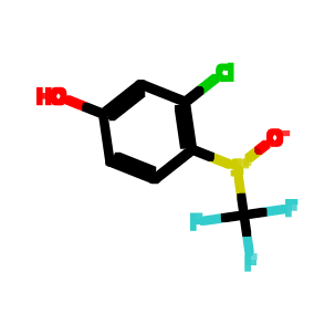 [O-][S+](c1ccc(O)cc1Cl)C(F)(F)F